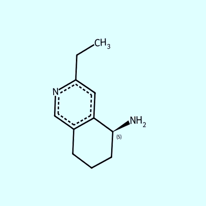 CCc1cc2c(cn1)CCC[C@@H]2N